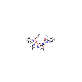 CCCC(NC(=O)[C@@H]1CC(C)(C)CN1C(=O)[C@@H](NC(=O)OCC(C)C)[C@H](C)c1ccccc1)C(=O)C(=O)NCC(=O)N[C@H](C(=O)N(C)C)c1ccccc1